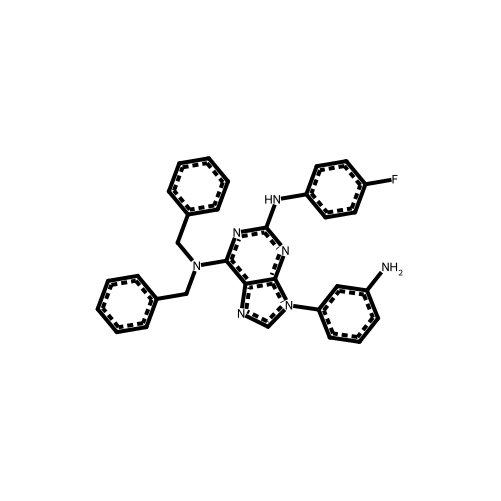 Nc1cccc(-n2cnc3c(N(Cc4ccccc4)Cc4ccccc4)nc(Nc4ccc(F)cc4)nc32)c1